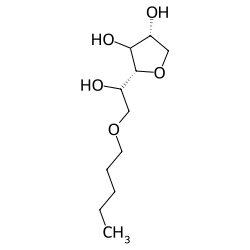 CCCCCOCC(O)[C@H]1OC[C@@H](O)C1O